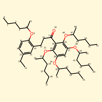 CCCCC(C)Oc1ccc(CC)cc1CCC(=O)c1c(OC(C)CCCC)c(OC(C)CCCC)cc(OC(C)CCCC)c1OC(C)CCCC